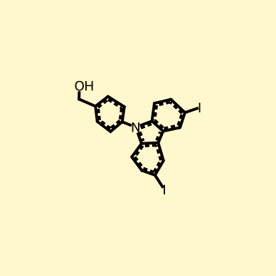 OCc1ccc(-n2c3ccc(I)cc3c3cc(I)ccc32)cc1